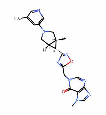 Cn1cnc2ncn(Cc3nc([C@@H]4[C@@H]5CN(c6cncc(C(F)(F)F)c6)C[C@@H]54)no3)c(=O)c21